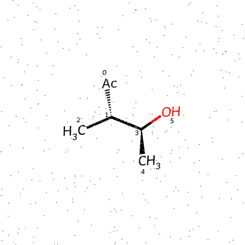 CC(=O)[C@@H](C)[C@H](C)O